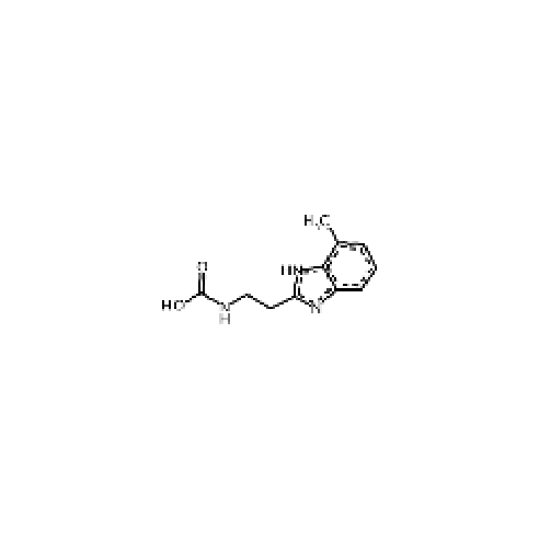 Cc1cccc2nc(CCNC(=O)O)[nH]c12